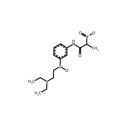 CCN(CC)CC[S+]([O-])c1cccc(NC(=O)C(C)[N+](=O)[O-])c1